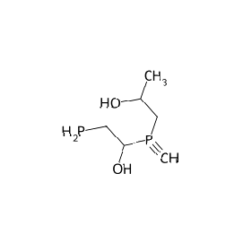 C#P(CC(C)O)C(O)CP